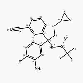 CC(C)(C)[S@@+]([O-])NC(CCC1CC1)(c1ccc(F)c(N)c1)c1cccc(C#N)n1